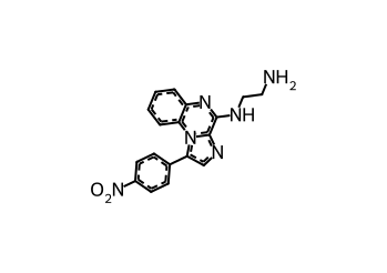 NCCNc1nc2ccccc2n2c(-c3ccc([N+](=O)[O-])cc3)cnc12